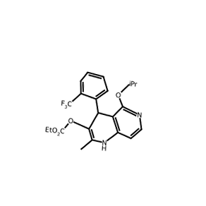 CCOC(=O)OC1=C(C)Nc2ccnc(OC(C)C)c2C1c1ccccc1C(F)(F)F